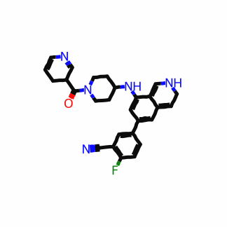 N#Cc1cc(-c2cc(NC3CCN(C(=O)C4C=NC=CC4)CC3)c3c(c2)=CCNC=3)ccc1F